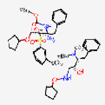 CC(C)(C)N(C(=O)O)[C@@H](Cc1ccccc1)[C@H](O)CNOC1CCCC1.CC(C)(C)OC(=O)N[C@@](N)(Cc1ccccc1)[C@](O)(COC1CCCC1)S(=O)(=O)c1cccc([N+](=O)[O-])c1